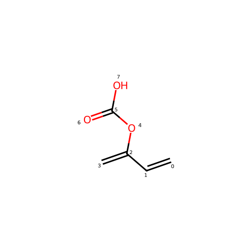 C=CC(=C)OC(=O)O